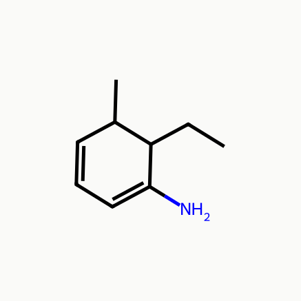 CCC1C(N)=CC=CC1C